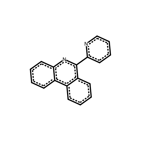 c1ccc(-c2nc3ccccc3c3ccccc23)nc1